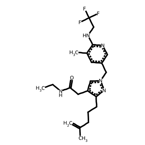 C=C(C)CCCc1nn(Cc2cnc(NCC(F)(F)F)c(C)c2)cc1CC(=O)NCC